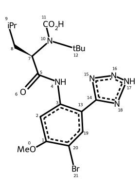 COc1cc(NC(=O)[C@@H](CC(C)C)N(C(=O)O)C(C)(C)C)c(-c2nn[nH]n2)cc1Br